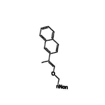 CCCCCCCCCCOC=C(C)c1ccc2ccccc2c1